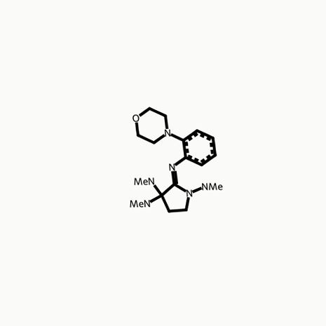 CNN1CCC(NC)(NC)C1=Nc1ccccc1N1CCOCC1